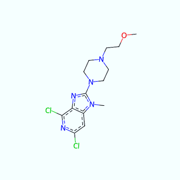 COCCN1CCN(c2nc3c(Cl)nc(Cl)cc3n2C)CC1